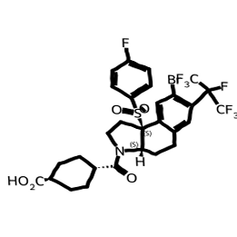 O=C(O)[C@H]1CC[C@H](C(=O)N2CC[C@]3(S(=O)(=O)c4ccc(F)cc4)c4cc(Br)c(C(F)(C(F)(F)F)C(F)(F)F)cc4CC[C@H]23)CC1